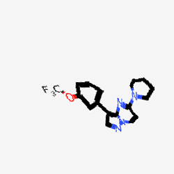 FC(F)(F)Oc1cccc(-c2cnn3ccc(N4CCCCC4)nc23)c1